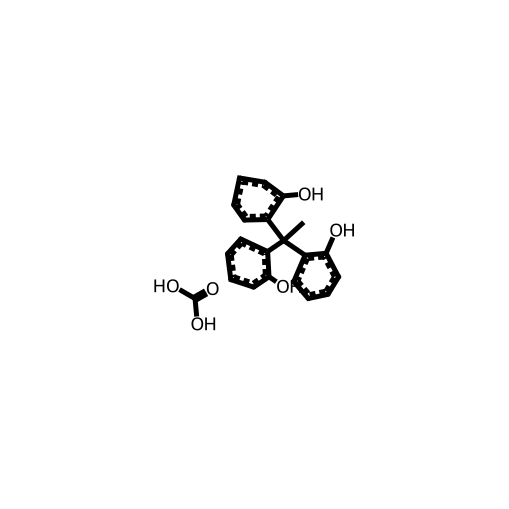 CC(c1ccccc1O)(c1ccccc1O)c1ccccc1O.O=C(O)O